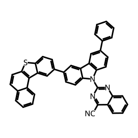 N#Cc1nc(-n2c3ccc(-c4ccccc4)cc3c3cc(-c4ccc5sc6ccc7ccccc7c6c5c4)ccc32)nc2ccccc12